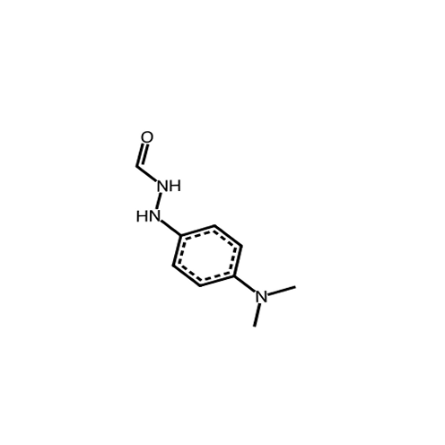 CN(C)c1ccc(NNC=O)cc1